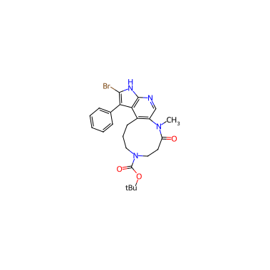 CN1C(=O)CCN(C(=O)OC(C)(C)C)CCCc2c1cnc1[nH]c(Br)c(-c3ccccc3)c21